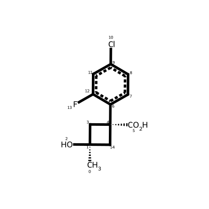 C[C@]1(O)C[C@@](C(=O)O)(c2ccc(Cl)cc2F)C1